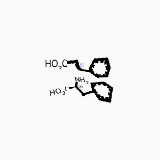 N[C@@H](Cc1ccccc1)C(=O)O.O=C(O)/C=C/c1ccccc1